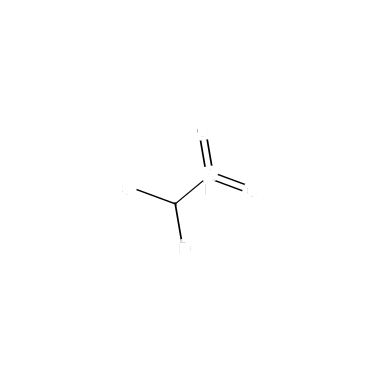 [CH2]CC(Cl)[SH](=O)=O